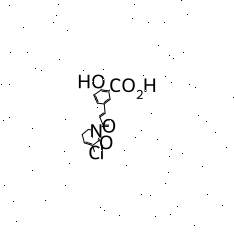 O=C(O)c1cc(/C=C/C(=O)N2CCC=C(Cl)C2=O)ccc1O